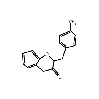 Cc1ccc(SC2Oc3ccccc3CC2=O)cc1